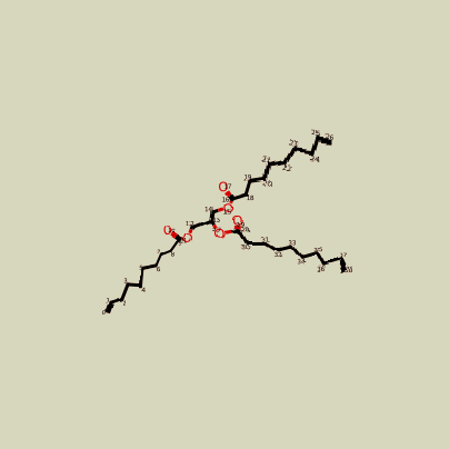 C=CCCCCCCCC(=O)OCC(COC(=O)CCCCCCCC=C)OC(=O)CCCCCCCC=C